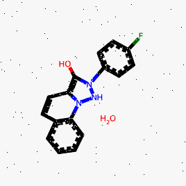 O.OC1=C2C=Cc3ccccc3N2NN1c1ccc(F)cc1